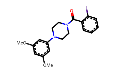 COc1cc(OC)cc(N2CCN(C(=O)c3ccccc3I)CC2)c1